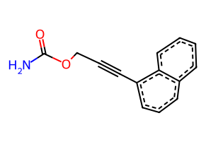 NC(=O)OCC#Cc1cccc2ccccc12